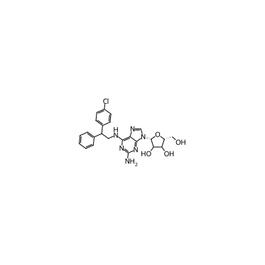 Nc1nc(NCC(c2ccccc2)c2ccc(Cl)cc2)c2ncn([C@@H]3O[C@H](CO)C(O)C3O)c2n1